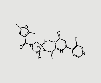 Cc1cc(C(=O)N2C[C@@H]3C(N(C)c4nc(-c5ccncc5F)cc(=O)n4C)[C@@H]3C2)c(C)o1